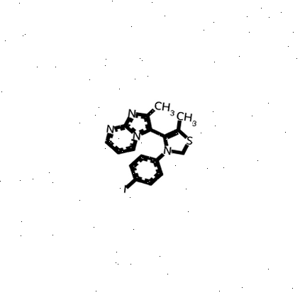 CC1=C(c2c(C)nc3ncccn23)N(c2ccc(I)cc2)CS1